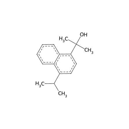 CC(C)c1ccc(C(C)(C)O)c2ccccc12